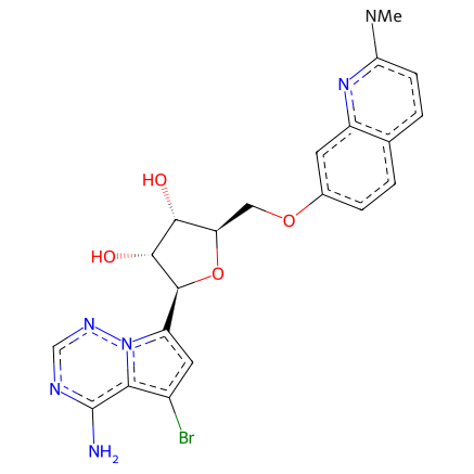 CNc1ccc2ccc(OC[C@H]3O[C@@H](c4cc(Br)c5c(N)ncnn45)[C@H](O)[C@@H]3O)cc2n1